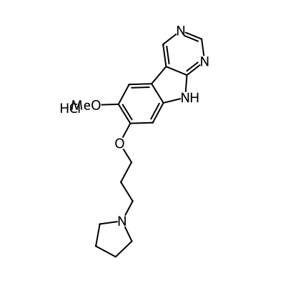 COc1cc2c(cc1OCCCN1CCCC1)[nH]c1ncncc12.Cl